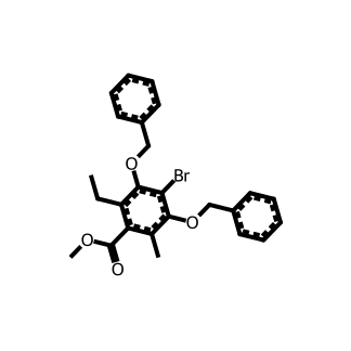 CCc1c(OCc2ccccc2)c(Br)c(OCc2ccccc2)c(C)c1C(=O)OC